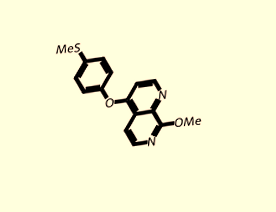 COc1nccc2c(Oc3ccc(SC)cc3)ccnc12